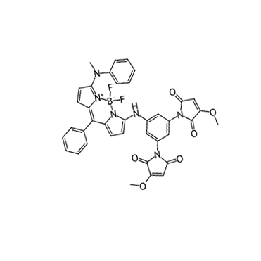 COC1=CC(=O)N(c2cc(Nc3ccc4n3[B-](F)(F)[N+]3=C(N(C)c5ccccc5)C=CC3=C4c3ccccc3)cc(N3C(=O)C=C(OC)C3=O)c2)C1=O